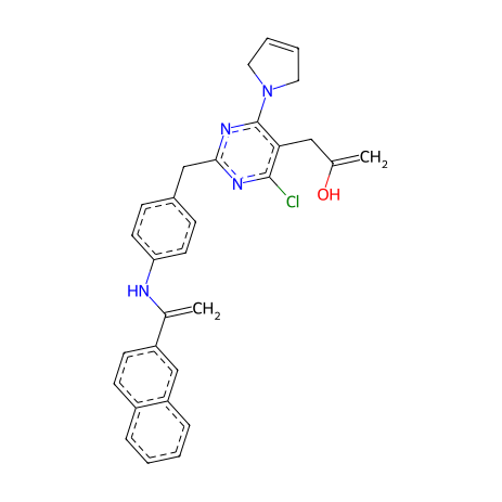 C=C(O)Cc1c(Cl)nc(Cc2ccc(NC(=C)c3ccc4ccccc4c3)cc2)nc1N1CC=CC1